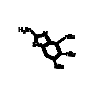 CCCCc1cc2s[c]([SnH3])nc2c(CCCC)c1CCCC